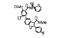 CNC(=O)C1c2cc(-c3cc(C(=O)NC4(c5ccccn5)CC4)c(OC)cc3Cl)ccc2OC1c1ccc(F)cc1